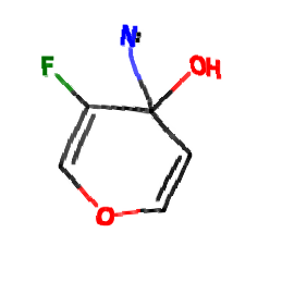 [N]C1(O)C=COC=C1F